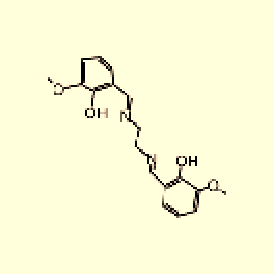 COc1cccc(C=NCCN=Cc2cccc(OC)c2O)c1O